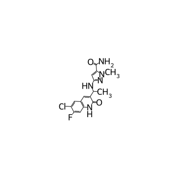 CC(Nc1cc(C(N)=O)n(C)n1)c1cc2cc(Cl)c(F)cc2[nH]c1=O